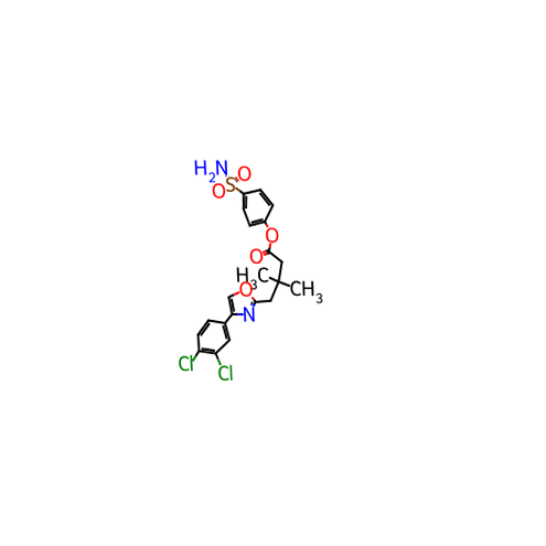 CC(C)(CC(=O)Oc1ccc(S(N)(=O)=O)cc1)Cc1nc(-c2ccc(Cl)c(Cl)c2)co1